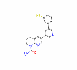 NC(=O)N1CCCc2cc(-c3cncc(-c4cccc(S)c4)c3)cnc21